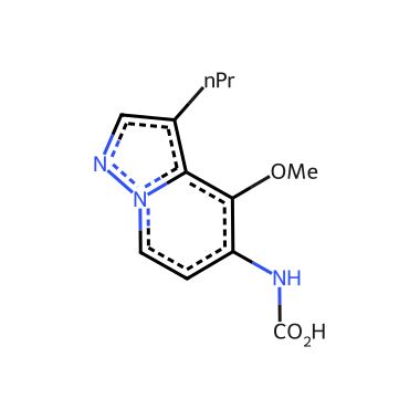 CCCc1cnn2ccc(NC(=O)O)c(OC)c12